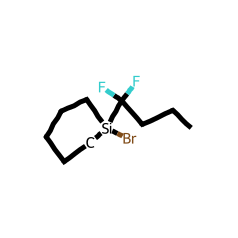 CCCC(F)(F)[Si]1(Br)CCCCC1